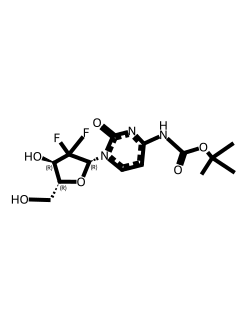 CC(C)(C)OC(=O)Nc1ccn([C@@H]2O[C@H](CO)[C@@H](O)C2(F)F)c(=O)n1